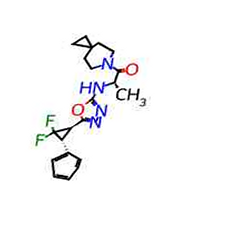 C[C@@H](Nc1nnc([C@H]2[C@H](c3ccccc3)C2(F)F)o1)C(=O)N1CCC2(CC1)CC2